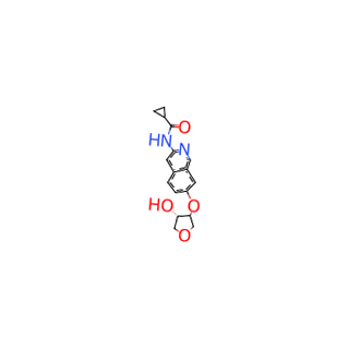 O=C(Nc1cc2ccc(OC3COC[C@@H]3O)cc2cn1)C1CC1